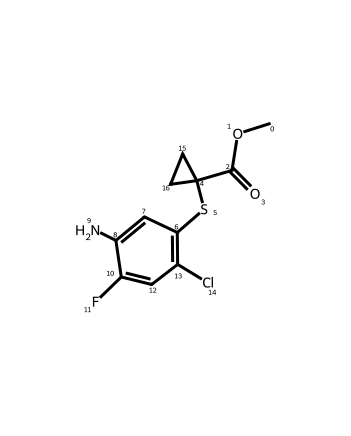 COC(=O)C1(Sc2cc(N)c(F)cc2Cl)CC1